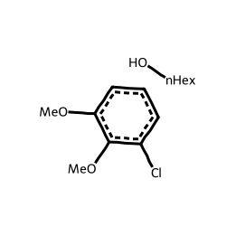 CCCCCCO.COc1cccc(Cl)c1OC